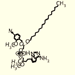 CCCCCCCCCCCCCCCCCCOC[C@H](COP(=O)(O)OC[C@](C)(CCc1ccc2c(N)ncnn12)OC)OCc1ccc(C#N)cc1OC